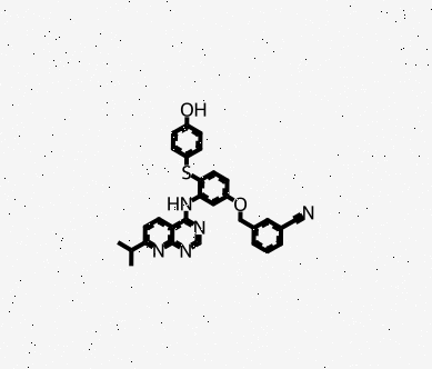 CC(C)c1ccc2c(Nc3cc(OCc4cccc(C#N)c4)ccc3Sc3ccc(O)cc3)ncnc2n1